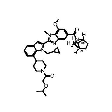 COc1cc(C(=O)N2C[C@H]3CC[C@@H]2[C@@H]3N)cc2nc(-c3cc4cccc(C5CCN(C(=O)COC(C)C)CC5)c4n3CC3CC3)n(C)c12